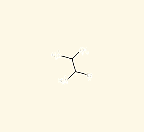 CCC(N)C(C)C